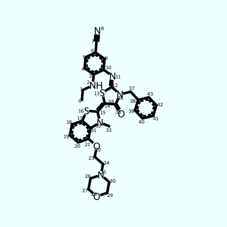 CCNc1ccc(C#N)cc1/N=C1\S/C(=C2\Sc3cccc(OCCN4CCOCC4)c3N2C)C(=O)N1Cc1ccccc1